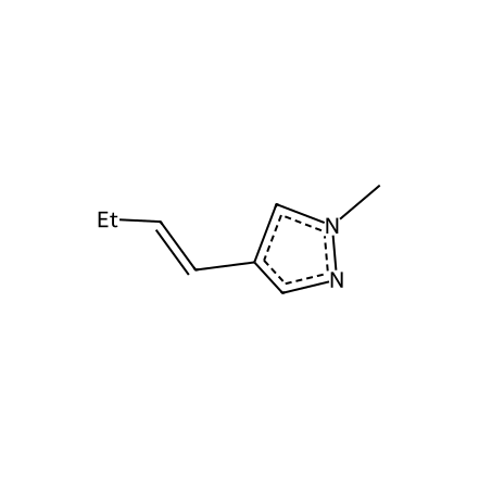 CC/C=C/c1cnn(C)c1